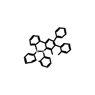 Cc1ccccc1B1c2c(cc(-c3ccccc3)c(-c3ccccc3C)c2C)-c2ccccc2N1c1ccccc1